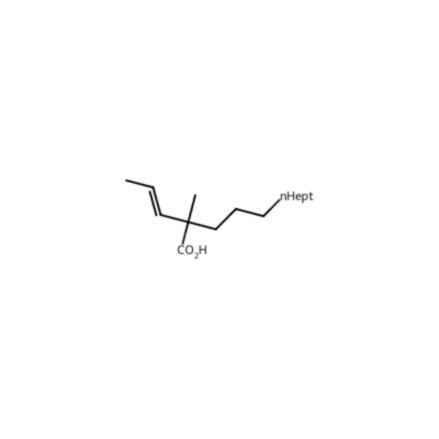 CC=CC(C)(CCCCCCCCCC)C(=O)O